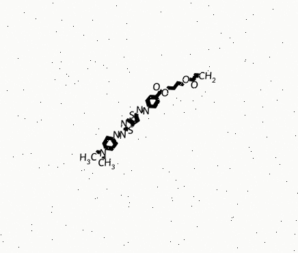 C=CC(=O)OCCCCOC(=O)c1ccc(N=Nc2cc3sc(N=Nc4ccc(N(CC)CC)cc4)nc3s2)cc1